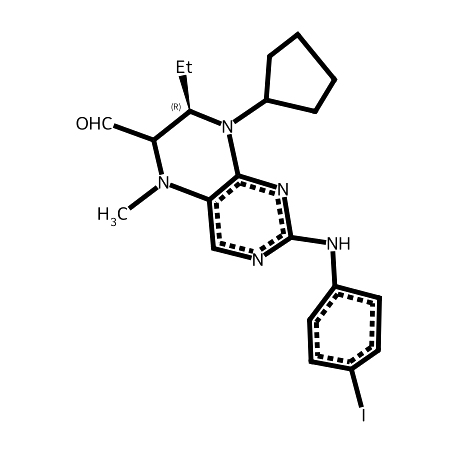 CC[C@@H]1C(C=O)N(C)c2cnc(Nc3ccc(I)cc3)nc2N1C1CCCC1